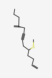 C=CCCC(CC#CCC(=C)CCC)SC